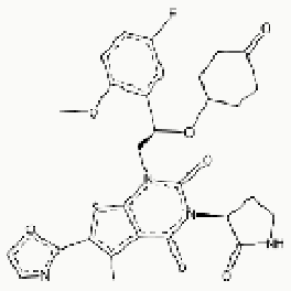 COc1ccc(F)cc1[C@H](Cn1c(=O)n([C@H]2CCNC2=O)c(=O)c2c(C)c(-c3ncco3)sc21)OC1CCC(=O)CC1